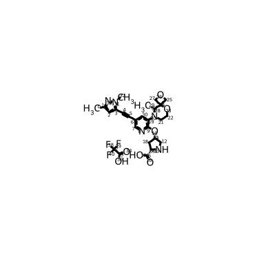 Cc1cc(C#Cc2cnc(O[C@@H]3CN[C@H](C(=O)O)C3)c(N3CCOC4(COC4)[C@@H]3C)c2)n(C)n1.O=C(O)C(F)(F)F